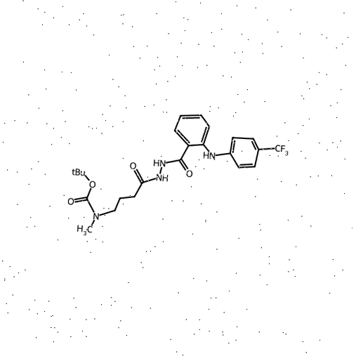 CN(CCCC(=O)NNC(=O)c1ccccc1Nc1ccc(C(F)(F)F)cc1)C(=O)OC(C)(C)C